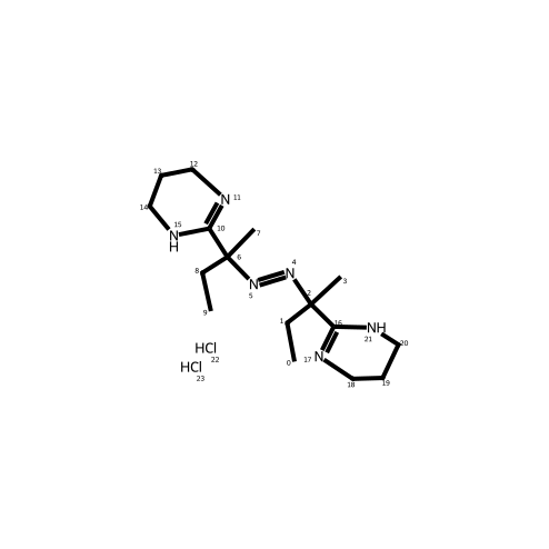 CCC(C)(N=NC(C)(CC)C1=NCCCN1)C1=NCCCN1.Cl.Cl